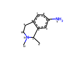 CC1c2cc(N)ccc2CCN1C